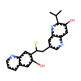 CC(C)c1nc2cc(CC(S)c3cc4ncccc4cc3O)cnc2cc1O